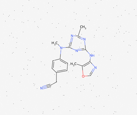 Cc1nc(Nc2ncoc2C)nc(N(C)c2ccc(CC#N)cc2)n1